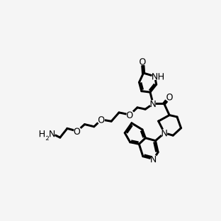 NCCOCCOCCOCCN(C(=O)C1CCCN(c2cncc3ccccc23)C1)c1ccc(=O)[nH]c1